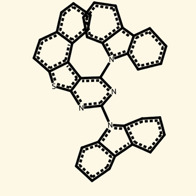 c1ccc2c(c1)ccc1sc3nc(-n4c5ccccc5c5ccccc54)nc(-n4c5ccccc5c5ccccc54)c3c12